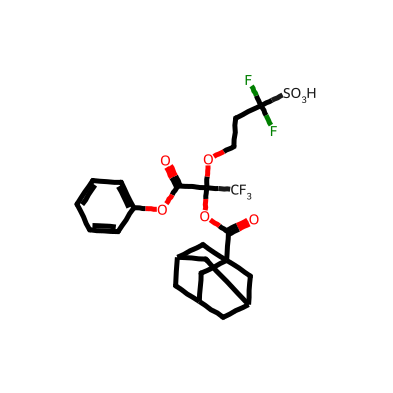 O=C(OC(OCCC(F)(F)S(=O)(=O)O)(C(=O)Oc1ccccc1)C(F)(F)F)C12CC3CC(CC(C3)C1)C2